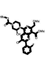 COCc1nc(N2CCN(C(=O)OC(C)(C)C)C[C@@H]2C)c2cc(Cl)c(-c3ccccc3F)nc2c1C(=O)OC